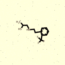 CC(S)CNCCc1ccccc1C(F)(F)F